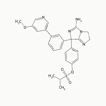 COc1cncc(-c2cccc(C3(c4ccc(OS(=O)(=O)C(C)C)cc4)N=C(N)N4CCN=C43)c2)c1